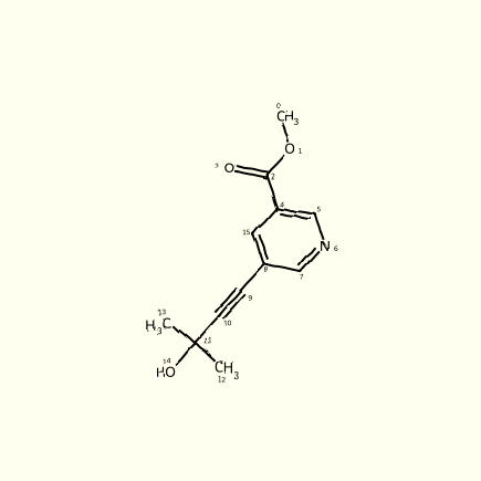 COC(=O)c1cncc(C#CC(C)(C)O)c1